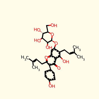 CC(C)=CCc1oc2cc(O[C@@H]3OC(CO)[C@@H](O)C(O)C3O)c(CC=C(C)C)c(O)c2c(=O)c1-c1ccc(O)cc1